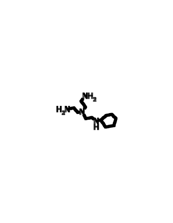 NCCN(CCN)CCNC1CCCCC1